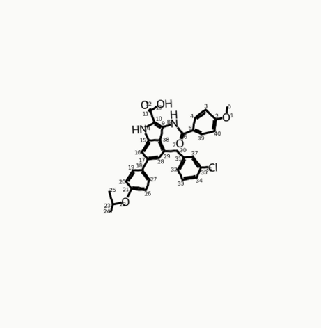 COc1ccc(C(=O)Nc2c(C(=O)O)[nH]c3cc(-c4ccc(OC(C)C)cc4)cc(Cc4cccc(Cl)c4)c23)cc1